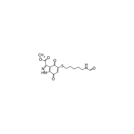 COC(=O)c1n[nH]c2c1C(=O)C(SCCCCCNC=O)=CC2=O